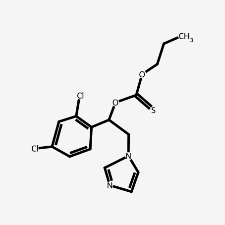 CCCOC(=S)OC(Cn1ccnc1)c1ccc(Cl)cc1Cl